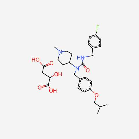 CC(C)COc1ccc(CN(C(=O)NCc2ccc(F)cc2)C2CCN(C)CC2)cc1.O=C(O)CC(O)C(=O)O